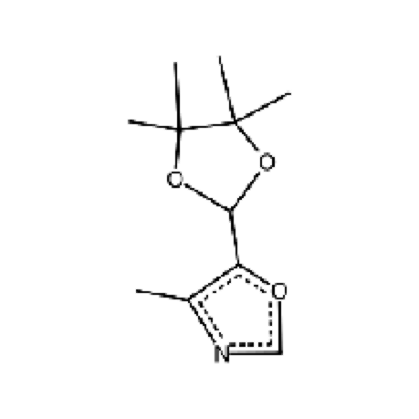 Cc1ncoc1C1OC(C)(C)C(C)(C)O1